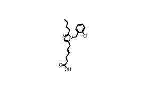 CCCCc1ncc(C/C=C/CCC(=O)O)n1Cc1ccccc1Cl